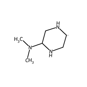 CN(C)C1CN[CH]CN1